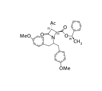 COc1ccc(CC(Cc2ccc(OC)cc2)N2C(=O)[C@H](C(C)=O)[C@H]2C(=O)O[C@H](C)c2ccccc2)cc1